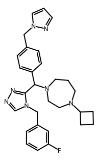 Fc1cccc(Cn2cnnc2C(c2ccc(Cn3cccn3)cc2)N2CCCN(C3CCC3)CC2)c1